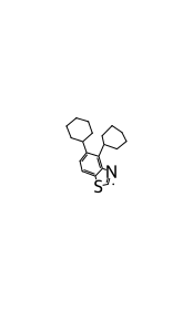 [c]1nc2c(C3CCCCC3)c(C3CCCCC3)ccc2s1